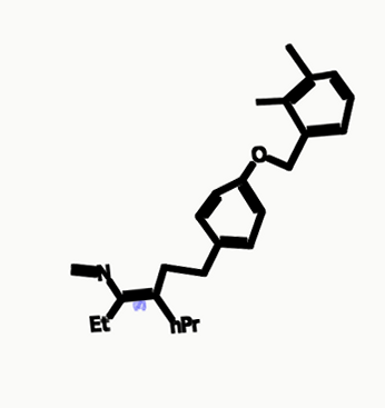 C=N/C(CC)=C(/CCC)CCc1ccc(OCc2cccc(C)c2C)cc1